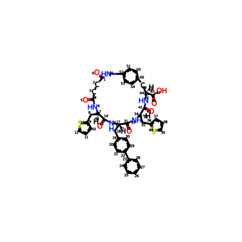 O=C1CCC(=O)N[C@H](Cc2cccs2)C(=O)N[C@@H](Cc2ccc(-c3ccccc3)cc2)C(=O)N[C@H](Cc2cccs2)C(=O)N[C@H](C(=O)O)Cc2ccc(cc2)N1